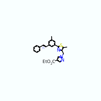 CCOC(=O)c1cnn(Cc2nc(-c3cc(C)cc(/C=C/c4ccccc4)c3)sc2C)c1